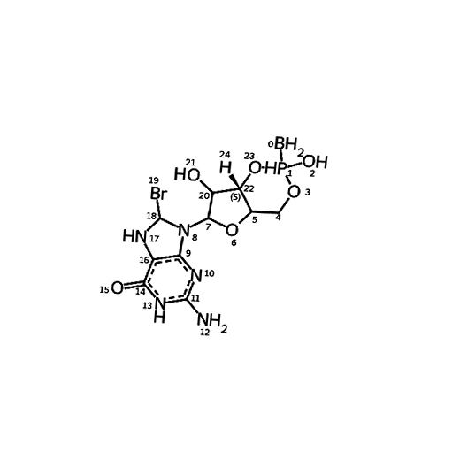 B[PH]1(O)OCC2OC(N3c4nc(N)[nH]c(=O)c4NC3Br)C(O)[C@@H]2O1